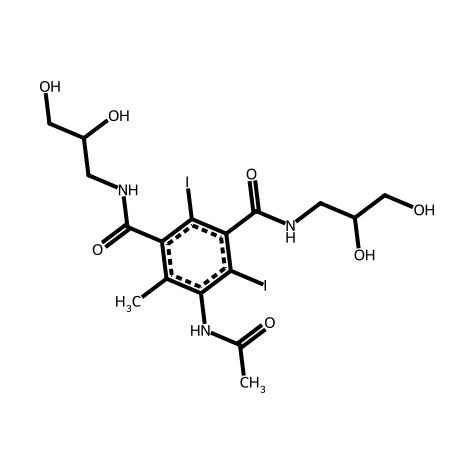 CC(=O)Nc1c(C)c(C(=O)NCC(O)CO)c(I)c(C(=O)NCC(O)CO)c1I